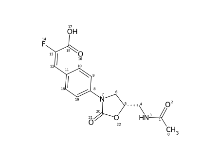 CC(=O)NC[C@H]1CN(c2ccc(/C=C(/F)C(=O)O)cc2)C(=O)O1